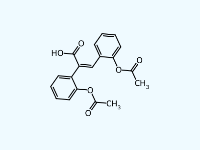 CC(=O)Oc1ccccc1/C=C(\C(=O)O)c1ccccc1OC(C)=O